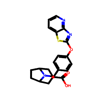 O=C(O)C1CC2CCC(C1)N2Cc1ccc(Oc2nc3ncccc3s2)cc1